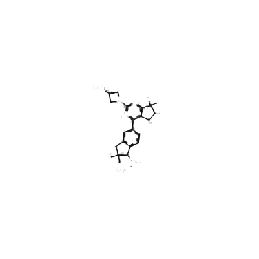 CSNC1c2ccc(-c3nc(N4CC(O)C4)nc4c3CCC4(F)F)cc2CC1(C)C